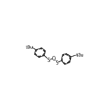 CC(C)(C)c1ccc(SOSc2ccc(C(C)(C)C)cc2)cc1